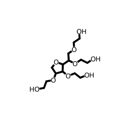 OCCOCC(OCCO)C1OCC(OCCO)C1OCCO